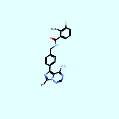 COc1c(F)cccc1C(=O)NCc1ccc(-c2nc(C(C)C)n3ncnc(N)c23)cc1